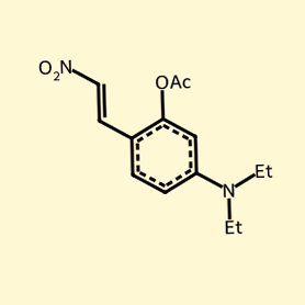 CCN(CC)c1ccc(C=C[N+](=O)[O-])c(OC(C)=O)c1